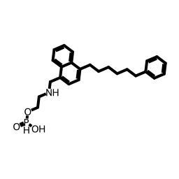 O=[PH](O)OCCNCc1ccc(CCCCCCc2ccccc2)c2ccccc12